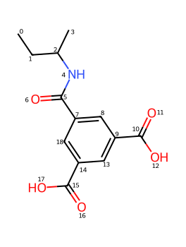 CCC(C)NC(=O)c1cc(C(=O)O)cc(C(=O)O)c1